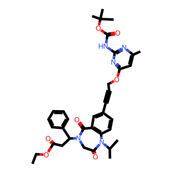 CCOC(=O)CC(c1ccccc1)N1CC(=O)N(C(C)C)c2ccc(C#CCOc3cc(C)nc(NC(=O)OC(C)(C)C)n3)cc2C1=O